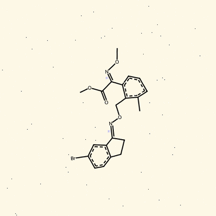 CO/N=C(/C(=O)OC)c1cccc(C)c1CO/N=C1\CCc2ccc(Br)cc21